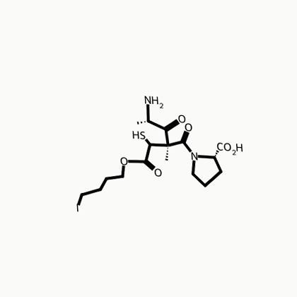 C[C@H](N)C(=O)[C@@](C)(C(=O)N1CCC[C@H]1C(=O)O)C(S)C(=O)OCCCCI